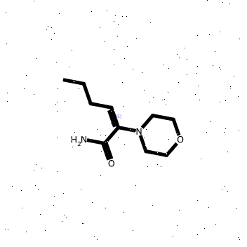 CCC/C=C(\C(N)=O)N1CCOCC1